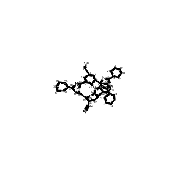 N#Cc1cc(-c2cc(-c3ccccc3)nc(-c3ccccc3)n2)c2c(c1)c1nc(-c3ccccc3)cc(n1)c1cc3c(cc1C#N)c1ccccc1n32